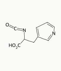 O=C=NC(Cc1cccnc1)C(=O)O